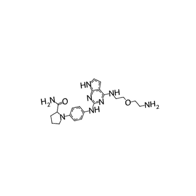 NCCOCCNc1nc(Nc2ccc(N3CCCC3C(N)=O)cc2)nc2[nH]ccc12